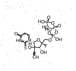 C#CC1(O)[C@@H](O)[C@@](F)(COP(=O)(O)OP(=O)(O)OP(=O)(O)O)O[C@H]1n1ccc(=O)[nH]c1=S